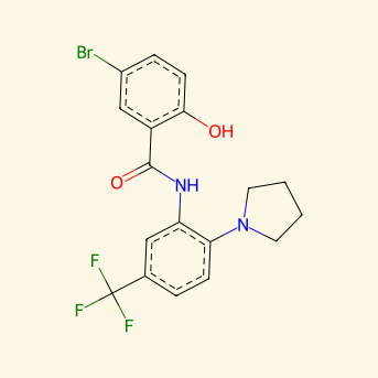 O=C(Nc1cc(C(F)(F)F)ccc1N1CCCC1)c1cc(Br)ccc1O